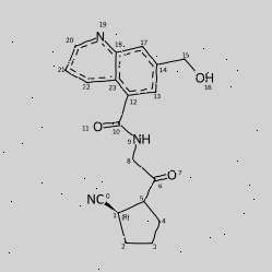 N#C[C@@H]1CCCC1C(=O)CNC(=O)c1cc(CO)cc2ncccc12